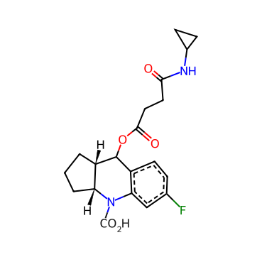 O=C(CCC(=O)OC1c2ccc(F)cc2N(C(=O)O)[C@@H]2CCC[C@H]12)NC1CC1